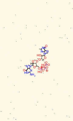 COC1[C@@H](COP(=O)(O)OP(=O)(O)OP(=O)(O)OC[C@H]2O[C@@H](n3c[n+](C)c4c(=O)[nH]c(N)nc43)[C@H]3OCOC23)O[C@@H](n2cnc3c(=O)[nH]c(C)nc32)[C@H]1O